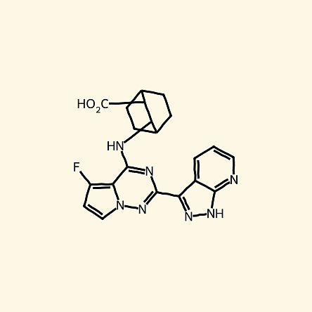 O=C(O)C1C2CCC(CC2)C1Nc1nc(-c2n[nH]c3ncccc23)nn2ccc(F)c12